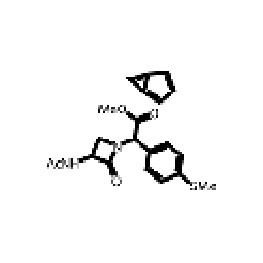 COC(=O)C(c1ccc(SC)cc1)N1CC(NC(C)=O)C1=O.c1cc2cc-2c1